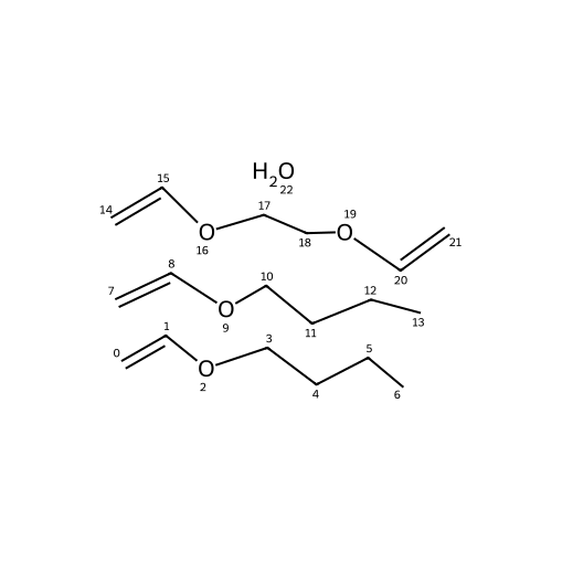 C=COCCCC.C=COCCCC.C=COCCOC=C.O